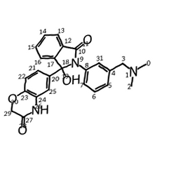 CN(C)Cc1cccc(N2C(=O)c3ccccc3C2(O)c2ccc3c(c2)NC(=O)CO3)c1